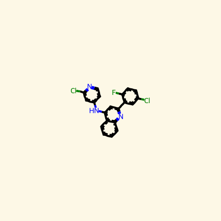 Fc1ccc(Cl)cc1-c1cc(Nc2ccnc(Cl)c2)c2ccccc2n1